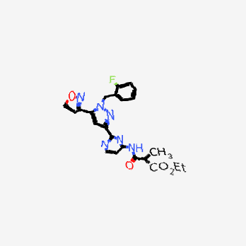 CCOC(=O)C(C)C(=O)Nc1ccnc(-c2cc(-c3ccon3)n(Cc3ccccc3F)n2)n1